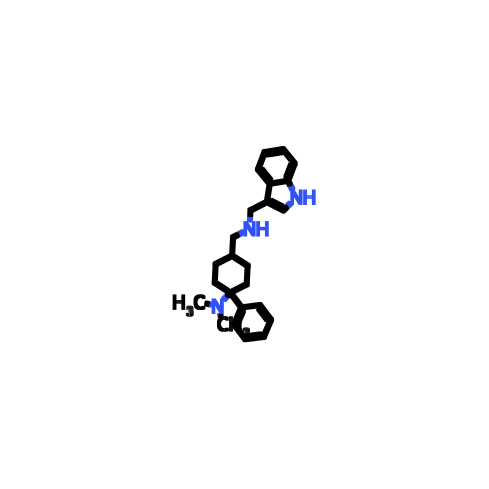 CN(C)C1(c2ccccc2)CCC(CNCc2c[nH]c3ccccc23)CC1